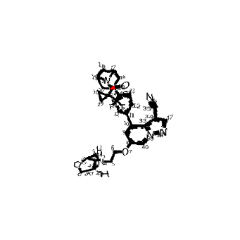 C[C@@H]1C2CN(CCOc3cc(-c4ccc(N5CC6CC(C5)N6C(=O)C5(C(F)(F)F)CC5)nc4)c4c(C#N)cnn4c3)[C@H]1CO2